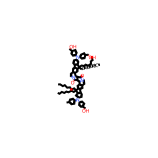 C=C=C=C=C=C=C=CC1(CCCCCCCC)c2cc(N(c3ccc(CO)cc3)c3ccc(CO)cc3)ccc2-c2cc3c(cc21)C1=C2C(=O)N4C=Cc5cc6c(cc5C4=C2C(=O)N1C=C3)C(CCCCCCCC)(CCCCCCCC)c1cc(N(c2ccc(C)cc2)c2ccc(CO)cc2)ccc1-6